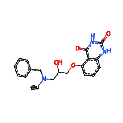 CC(C)(C)N(Cc1ccccc1)CC(O)COc1cccc2[nH]c(=O)[nH]c(=O)c12